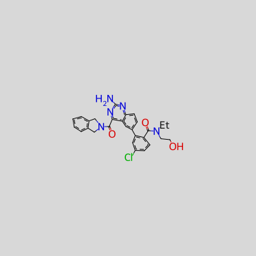 CCN(CCO)C(=O)c1ccc(Cl)cc1-c1ccc2nc(N)nc(C(=O)N3Cc4ccccc4C3)c2c1